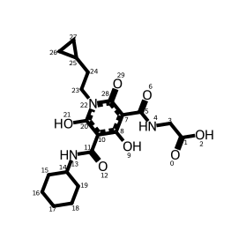 O=C(O)CNC(=O)c1c(O)c(C(=O)NC2CCCCC2)c(O)n(CCC2CC2)c1=O